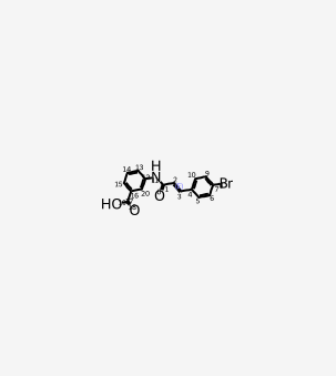 O=C(/C=C/c1ccc(Br)cc1)Nc1cccc(C(=O)O)c1